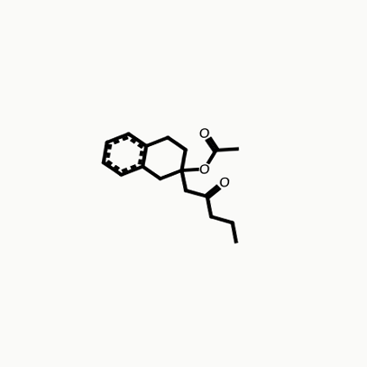 CCCC(=O)CC1(OC(C)=O)CCc2ccccc2C1